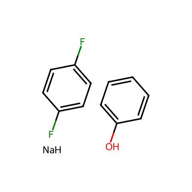 Fc1ccc(F)cc1.Oc1ccccc1.[NaH]